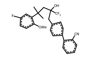 COc1ccc(F)cc1C(C)(C)CC(O)(Cc1ccc(-c2ccccc2C#N)cc1)C(F)(F)F